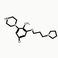 Cc1c(OCCCN2CCCC2)cc(Cl)cc1N1CCNCC1